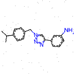 CC(C)c1ccc(Cn2cc(-c3cccc(N)c3)nn2)cc1